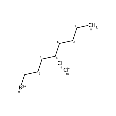 [B+2]CCCCCCCC.[Cl-].[Cl-]